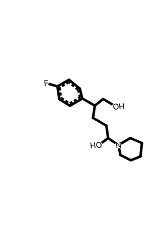 OCC(CCC(O)N1CCCCC1)c1ccc(F)cc1